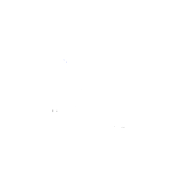 CCCC(C)CC(C)C(C(C)CC)C1CC1N(C)C